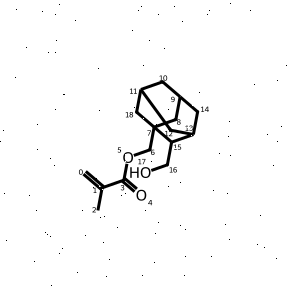 C=C(C)C(=O)OCC12CC3CC(CC(C3)C1CO)C2